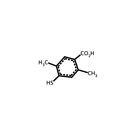 Cc1cc(C(=O)O)c(C)cc1S